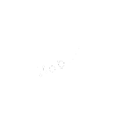 CC(C)CCCC(C)CCc1cnc(-c2ccc(OC(=O)C(Cl)C(C)C)cc2)nc1